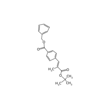 C/C(=C\c1ccc(C(=O)OCc2ccccc2)cc1)C(=O)OC(C)(C)C